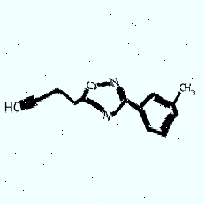 C#CCCc1nc(-c2cccc(C)c2)no1